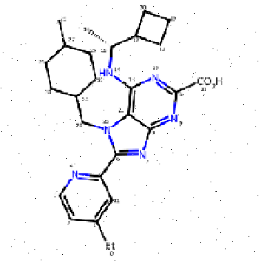 CCc1ccnc(-c2nc3nc(C(=O)O)nc(N[C@H](C)C4CCC4)c3n2CC2CCC(C)CC2)c1